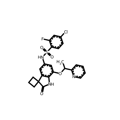 CC(Oc1cc(NS(=O)(=O)c2ccc(Cl)cc2F)cc2c1NC(=O)C21CCC1)c1ccccn1